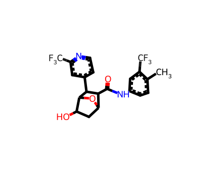 Cc1ccc(NC(=O)C2C3CC(O)C(O3)C2c2ccnc(C(F)(F)F)c2)cc1C(F)(F)F